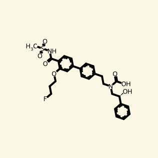 CS(=O)(=O)NC(=O)c1ccc(-c2ccc(CCN(C[C@H](O)c3ccccc3)C(=O)O)cc2)cc1OCCCF